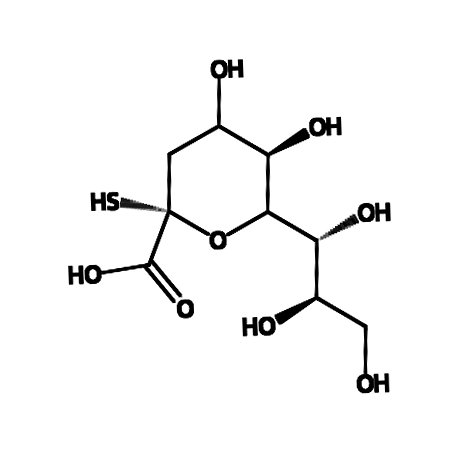 O=C(O)[C@@]1(S)CC(O)[C@@H](O)C([C@H](O)[C@H](O)CO)O1